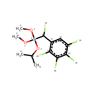 CO[Si](OC)(OC(C)C)C(F)c1cc(F)c(F)c(F)c1F